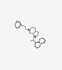 CC(c1cccc2ccccc12)N1CCC2CCN(CCc3ccccc3)CC21